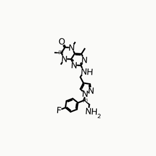 Cc1nc(NCc2cnn([C@@H](CN)c3ccc(F)cc3)c2)nc2c1N(C)C(=O)[C@H](C)N2C